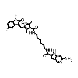 Cc1[nH]c(C=C2C(=O)Nc3ccc(F)cc32)c(C)c1C(=O)NCCCCCCNC(=O)c1cc2cnc(N)cc2[nH]1